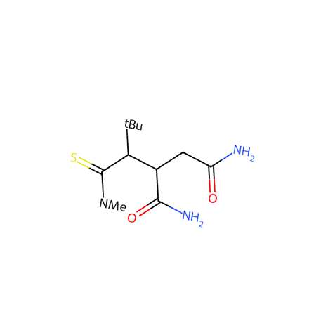 CNC(=S)C(C(CC(N)=O)C(N)=O)C(C)(C)C